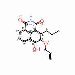 C=CCOc1c(CCC)c2c3c(cccc3c1O)C(=O)NC2=O